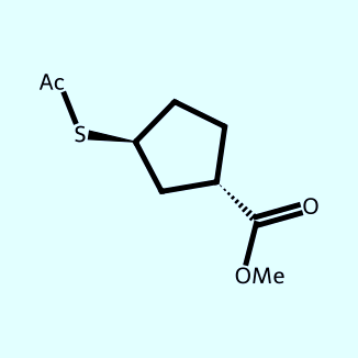 COC(=O)[C@H]1CC[C@H](SC(C)=O)C1